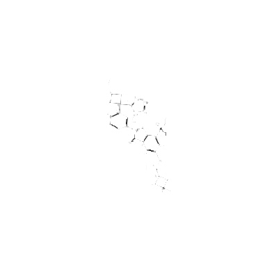 COC1CC(c2cccc(N3Cc4c(cc(CNC5CC(C)(F)C5)cc4C(F)(F)F)C3=O)c2)(c2nncn2C)C1